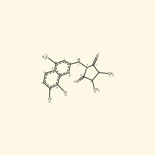 CC1C(=O)N(Nc2cc(C(F)(F)F)c3ccc(Cl)c(Cl)c3n2)C(=O)C1C